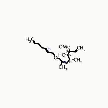 C=CCC/C=C/COC/C(C)=C\[C@@H](C)[C@H](O)[C@H](C=C)OC